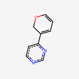 [CH]1OC=CC=C1c1ccncn1